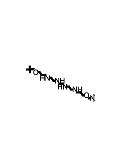 CN(C)COCCCNCCNCCNCCNCCCOCC(C)(C)C